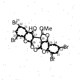 COC1Oc2c(c(=O)oc3c(Br)cc(Br)cc23)C1c1c(O)c2cc(Br)cc(Br)c2oc1=O